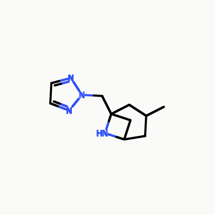 CC1CC2CC(Cn3nccn3)(C1)N2